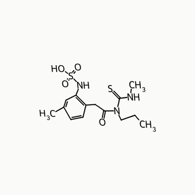 CCCN(C(=O)Cc1ccc(C)cc1NS(=O)(=O)O)C(=S)NC